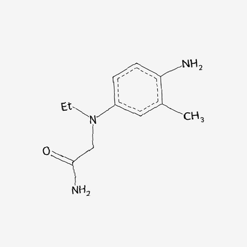 CCN(CC(N)=O)c1ccc(N)c(C)c1